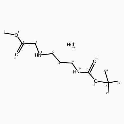 COC(=O)CNCCCNC(=O)OC(C)(C)C.Cl